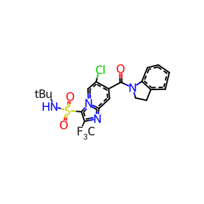 CC(C)(C)NS(=O)(=O)c1c(C(F)(F)F)nc2cc(C(=O)N3CCc4ccccc43)c(Cl)cn12